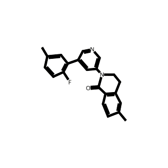 Cc1ccc2c(c1)CCN(c1cncc(-c3cc(C)ccc3F)c1)C2=O